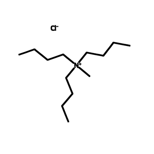 CCCC[N+](C)(CCCC)CCCC.[Cl-]